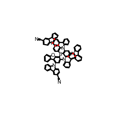 N#Cc1ccc2c(c1)c1ccccc1n2-c1ccc2c(c1)N(c1ccccc1-c1ccccc1)c1cc(-n3c4ccccc4c4ccccc43)cc3c1B2c1c(cc(-n2c4ccccc4c4cc(C#N)ccc42)c2c1oc1ccccc12)N3c1ccccc1-c1ccccc1